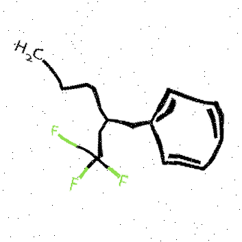 [CH2]CCC(c1ccccc1)C(F)(F)F